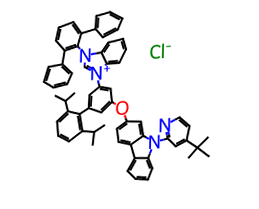 CC(C)c1cccc(C(C)C)c1-c1cc(Oc2ccc3c4ccccc4n(-c4cc(C(C)(C)C)ccn4)c3c2)cc(-[n+]2cn(-c3c(-c4ccccc4)cccc3-c3ccccc3)c3ccccc32)c1.[Cl-]